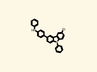 CCc1ccc2c(c1)c1cc(-c3ccc(Nc4ccccc4)cc3)ccc1n2-c1ccccc1